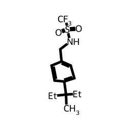 CCC(C)(CC)c1ccc(CNS(=O)(=O)C(F)(F)F)cc1